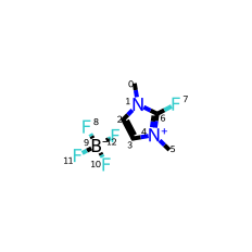 Cn1cc[n+](C)c1F.F[B-](F)(F)F